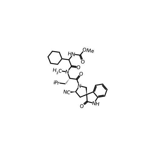 COC(=O)NC(C(=O)N(C)[C@@H](CC(C)C)C(=O)N1C[C@]2(C[C@H]1C#N)C(=O)Nc1ccccc12)C1CCCCC1